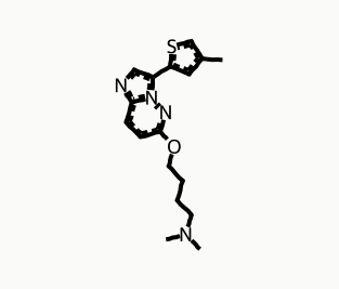 Cc1csc(-c2cnc3ccc(OCCCCN(C)C)nn23)c1